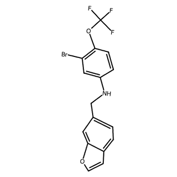 FC(F)(F)Oc1ccc(NCc2ccc3ccoc3c2)cc1Br